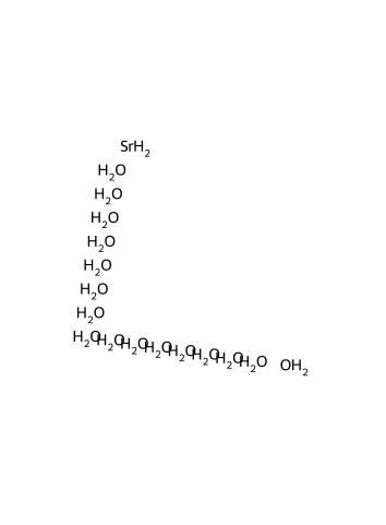 O.O.O.O.O.O.O.O.O.O.O.O.O.O.O.O.[SrH2]